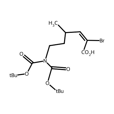 CC(/C=C(/Br)C(=O)O)CCN(C(=O)OC(C)(C)C)C(=O)OC(C)(C)C